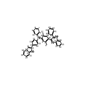 Cc1cc(N(c2ccccc2)c2ccc(-c3cn4ccccc4n3)cc2)c(C)cc1-c1nc2ccccc2nc1-c1ccccc1